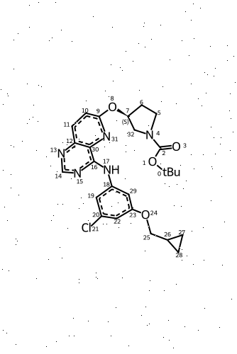 CC(C)(C)OC(=O)N1CC[C@H](Oc2ccc3ncnc(Nc4cc(Cl)cc(OCC5CC5)c4)c3n2)C1